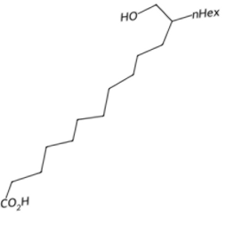 CCCCCCC(CO)CCCCCCCCCCC(=O)O